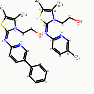 CC(=O)c1sc(=Nc2ccc(-c3ccccc3)cn2)n(CCO)c1C.CC(=O)c1sc(=Nc2ccc(C(F)(F)F)cn2)n(CCO)c1C